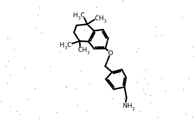 CC1(C)CCC(C)(C)c2cc(OCc3ccc(CN)cc3)ccc21